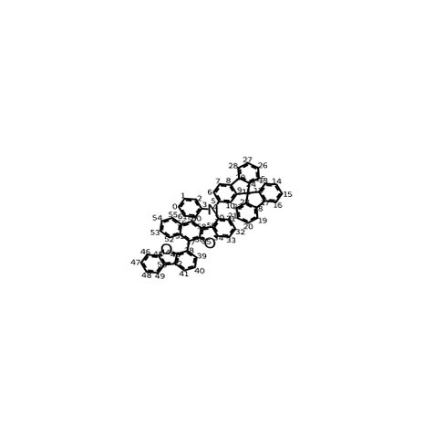 c1ccc(N(c2ccc3c(c2)C2(c4ccccc4-c4ccccc42)c2ccccc2-3)c2cccc3oc4c(-c5cccc6c5oc5ccccc56)c5ccccc5cc4c23)cc1